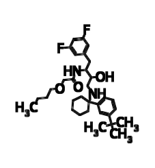 CCCCOCC(=O)NC(Cc1cc(F)cc(F)c1)C(O)CNC1(c2cccc(C(C)(C)C)c2)CCCCC1